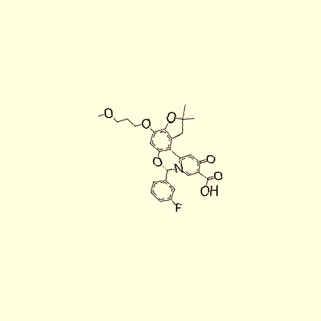 COCCCOc1cc2c(c3c1OC(C)(C)C3)-c1cc(=O)c(C(=O)O)cn1C(c1cccc(F)c1)O2